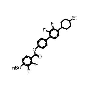 CCCCc1ccc(C(=O)Oc2ccc(-c3ccc(C4CCC(CC)CC4)c(F)c3F)cc2)c(F)c1F